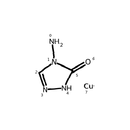 Nn1cn[nH]c1=O.[Cu]